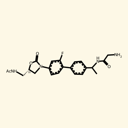 CC(=O)NC[C@H]1CN(c2ccc(-c3ccc(C(C)NC(=O)CN)cc3)c(F)c2)C(=O)O1